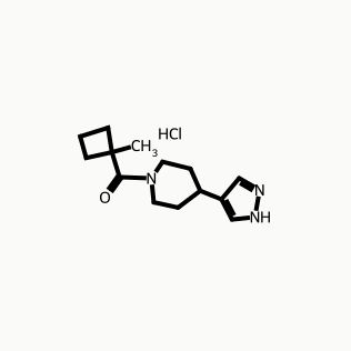 CC1(C(=O)N2CCC(c3cn[nH]c3)CC2)CCC1.Cl